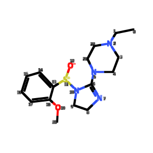 CCN1CCN(C2=NCCN2[S+]([O-])c2ccccc2OC)CC1